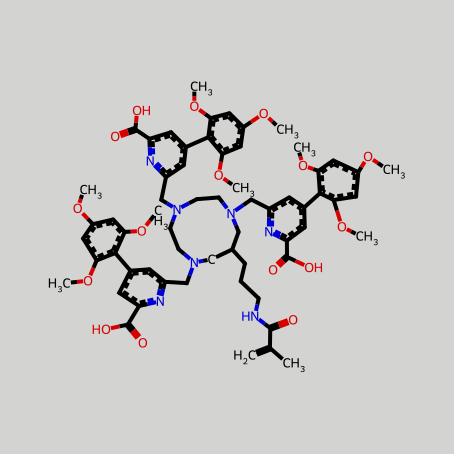 C=C(C)C(=O)NCCCC1CN(Cc2cc(-c3c(OC)cc(OC)cc3OC)cc(C(=O)O)n2)CCN(Cc2cc(-c3c(OC)cc(OC)cc3OC)cc(C(=O)O)n2)CCN(Cc2cc(-c3c(OC)cc(OC)cc3OC)cc(C(=O)O)n2)C1